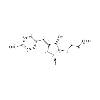 O=Cc1ccc(/C=C2\SC(=S)N(CCCC(=O)O)C2=O)cc1